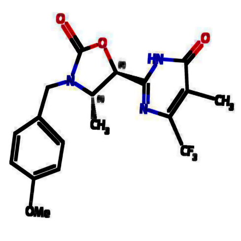 COc1ccc(CN2C(=O)O[C@@H](c3nc(C(F)(F)F)c(C)c(=O)[nH]3)[C@@H]2C)cc1